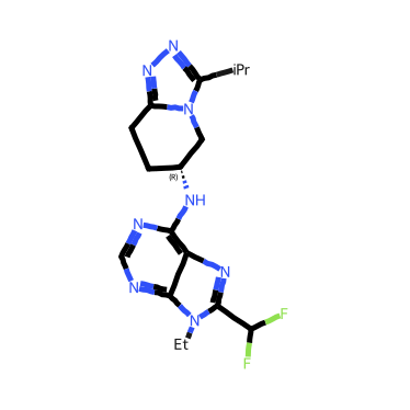 CCn1c(C(F)F)nc2c(N[C@@H]3CCc4nnc(C(C)C)n4C3)ncnc21